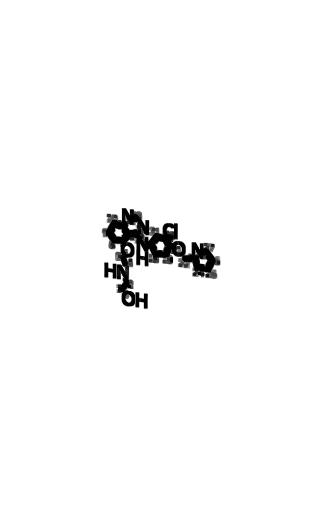 OCCNCCOc1cccc2ncnc(Nc3ccc(OCc4ccccn4)c(Cl)c3)c12